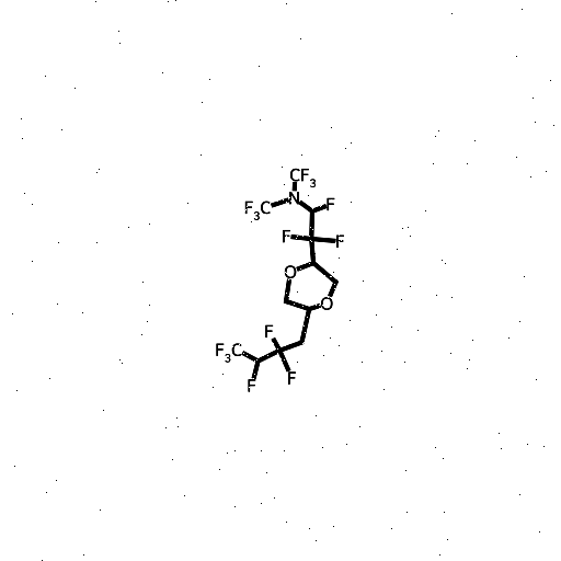 FC(C(F)(F)F)C(F)(F)CC1COC(C(F)(F)C(F)N(C(F)(F)F)C(F)(F)F)CO1